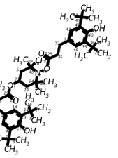 CCC(Cc1cc(C(C)(C)C)c(O)c(C(C)(C)C)c1)C(=O)OC1CC(C)(C)N(OC(=O)CCc2cc(C(C)(C)C)c(O)c(C(C)(C)C)c2)C(C)(C)C1